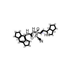 N#CN=S(=O)(/C=C/C1NCC2CCCC21)NC(=O)Nc1c2c(cc3c1CCC3)CCC2